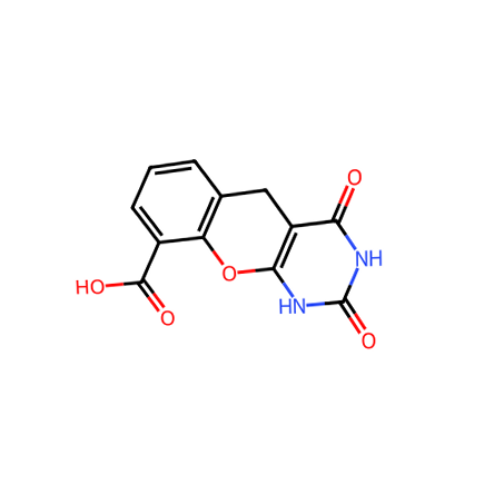 O=C(O)c1cccc2c1Oc1[nH]c(=O)[nH]c(=O)c1C2